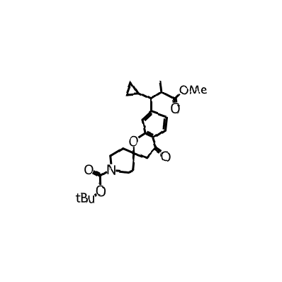 COC(=O)C(C)C(c1ccc2c(c1)OC1(CCN(C(=O)OC(C)(C)C)CC1)CC2=O)C1CC1